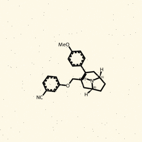 CCCN1[C@@H]2CC[C@H]1CC(c1ccc(OC)cc1)=C(COc1cccc(C#N)c1)C2